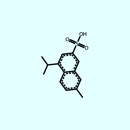 Cc1ccc2c(C(C)C)cc(S(=O)(=O)O)cc2c1